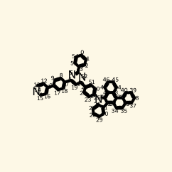 c1ccc(-c2nc(-c3ccc(-c4ccncc4)cc3)cc(-c3ccc(-n4c5ccccc5c5c6ccc7ccccc7c6c6ccccc6c54)cc3)n2)cc1